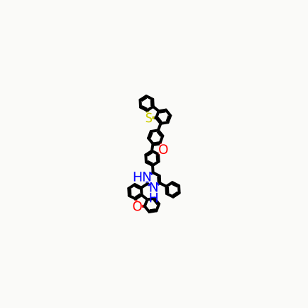 C1=CC2Oc3cccc(C4NC(c5ccccc5)=CC(c5ccc6c(c5)oc5cc(-c7cccc8c7sc7ccccc78)ccc56)N4)c3C2C=C1